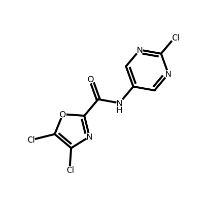 O=C(Nc1cnc(Cl)nc1)c1nc(Cl)c(Cl)o1